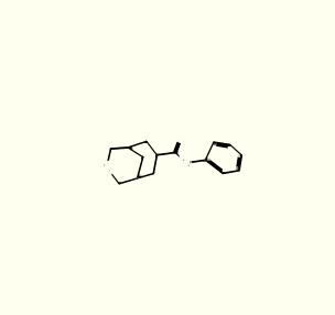 O=C(Nc1ccccc1)C1CC2CNCC(C2)C1